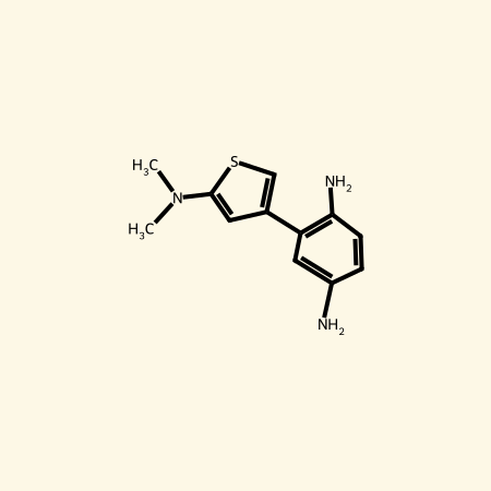 CN(C)c1cc(-c2cc(N)ccc2N)cs1